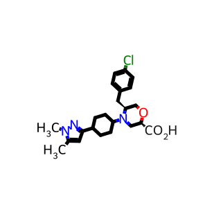 Cc1cc(C2CCC(N3C[C@H](C(=O)O)OC[C@@H]3Cc3ccc(Cl)cc3)CC2)nn1C